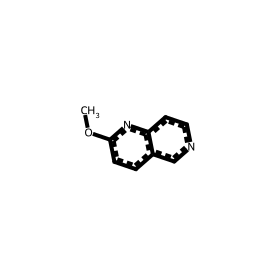 COc1ccc2cnccc2n1